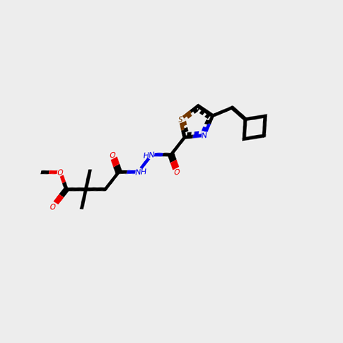 COC(=O)C(C)(C)CC(=O)NNC(=O)c1nc(CC2CCC2)cs1